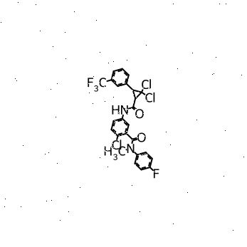 CN(C(=O)c1cc(NC(=O)C2C(c3cccc(C(F)(F)F)c3)C2(Cl)Cl)ccc1Cl)c1ccc(F)cc1